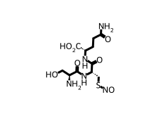 NC(=O)CC[C@H](NC(=O)[C@H](CSN=O)NC(=O)[C@@H](N)CO)C(=O)O